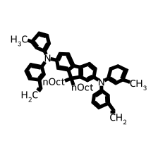 C=Cc1cccc(N(C2=CC(C)=CCC2)c2ccc3c(c2)C(CCCCCCCC)(CCCCCCCC)c2cc(N(c4cccc(C)c4)c4cccc(C=C)c4)ccc2-3)c1